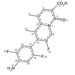 Cc1cc(C(=O)O)c(=O)n2cc(F)c(-c3cc(F)c(N)cc3F)c(C)c12